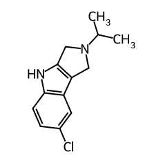 CC(C)N1Cc2[nH]c3ccc(Cl)cc3c2C1